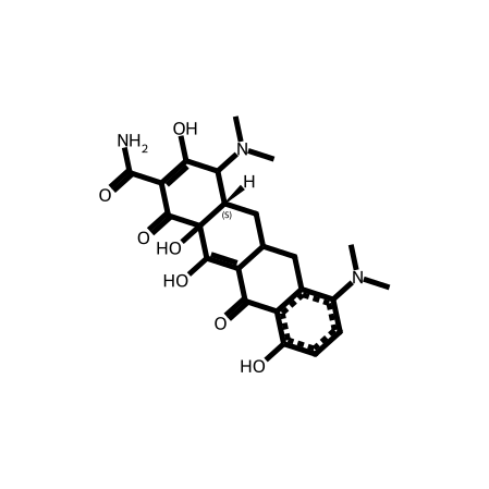 CN(C)c1ccc(O)c2c1CC1C[C@H]3C(N(C)C)C(O)=C(C(N)=O)C(=O)C3(O)C(O)=C1C2=O